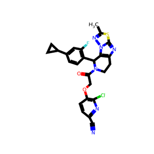 Cc1nn2c3c(nc2s1)CCN(C(=O)COc1ccc(C#N)nc1Cl)C3c1ccc(C2CC2)cc1F